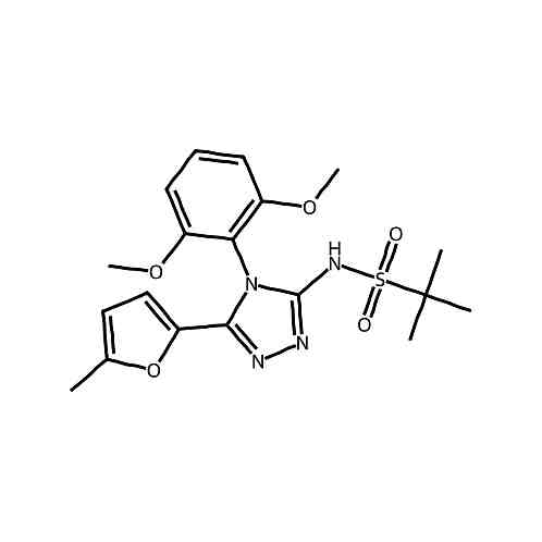 COc1cccc(OC)c1-n1c(NS(=O)(=O)C(C)(C)C)nnc1-c1ccc(C)o1